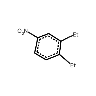 CCc1ccc([N+](=O)[O-])cc1CC